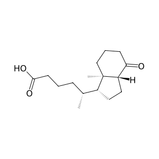 C[C@H](CCCC(=O)O)[C@H]1CC[C@H]2C(=O)CCC[C@]12C